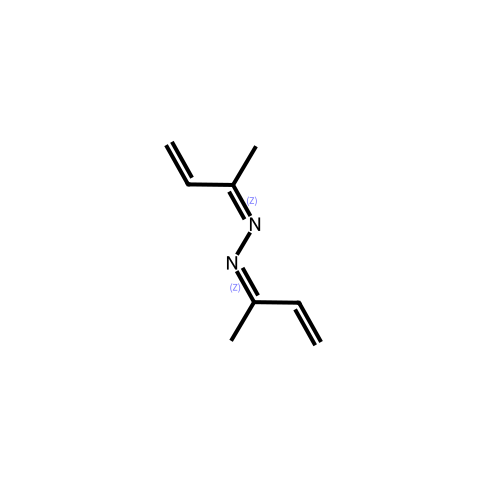 C=C/C(C)=N\N=C(\C)C=C